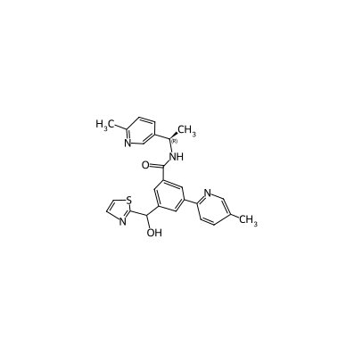 Cc1ccc(-c2cc(C(=O)N[C@H](C)c3ccc(C)nc3)cc(C(O)c3nccs3)c2)nc1